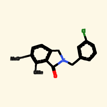 COc1ccc2c(c1OC)C(=O)N(Cc1cccc(Cl)c1)C2